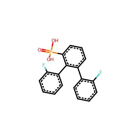 O=P(O)(O)c1cccc(-c2ccccc2F)c1-c1ccccc1F